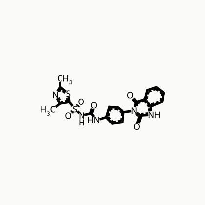 Cc1nc(C)c(S(=O)(=O)NC(=O)Nc2ccc(-n3c(=O)[nH]c4ccccc4c3=O)cc2)s1